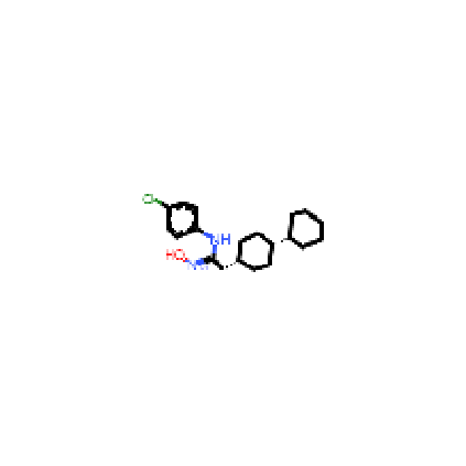 O/N=C(/C[C@H]1CC[C@@H](C2CCCCC2)CC1)Nc1ccc(Cl)cc1